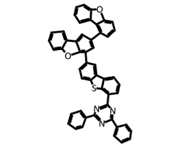 c1ccc(-c2nc(-c3ccccc3)nc(-c3cccc4c3sc3ccc(-c5cc(-c6cccc7oc8ccccc8c67)cc6c5oc5ccccc56)cc34)n2)cc1